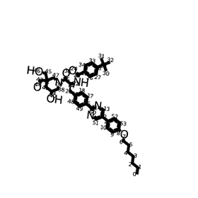 CCCCCCCOc1ccc(-c2cnc(-c3ccc(C[C@H](NC(=O)c4ccc(C(C)(C)C)cc4)C(=O)N4CC(O)CC(C=O)(CO)C4)cc3)nc2)cc1